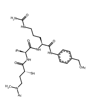 CC(=O)OCc1ccc(NC(=O)[C@H](CCCNC(N)=O)NC(=O)[C@@H](NC(=O)[C@H](S)CCN(C)C(C)=O)C(C)C)cc1